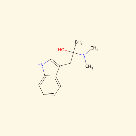 BC(O)(Cc1c[nH]c2ccccc12)N(C)C